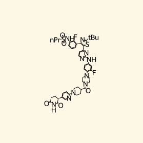 CCCS(=O)(=O)Nc1cccc(-c2nc(C(C)(C)C)sc2-c2ccnc(Nc3ccc(N4CCN(C(=O)C5CCN(c6ccc([C@@H]7CCC(=O)NC7=O)cn6)CC5)CC4)c(F)c3)n2)c1F